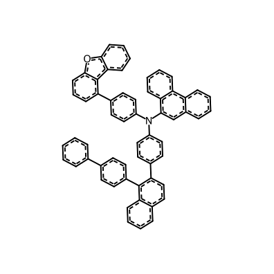 c1ccc(-c2ccc(-c3c(-c4ccc(N(c5ccc(-c6cccc7oc8ccccc8c67)cc5)c5cc6ccccc6c6ccccc56)cc4)ccc4ccccc34)cc2)cc1